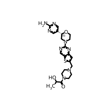 CC(O)C(=O)N1CCN(Cc2cc3nc(N4CCO[C@@H](c5cnc(N)nc5)C4)ncc3s2)CC1